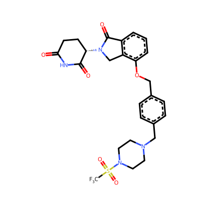 O=C1CC[C@H](N2Cc3c(OCc4ccc(CN5CCN(S(=O)(=O)C(F)(F)F)CC5)cc4)cccc3C2=O)C(=O)N1